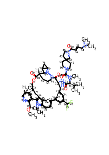 CCn1c(-c2cccnc2[C@H](C)OC)c2c3cc(ccc31)-c1cc(cc(C(F)F)c1)C[C@H](NC(=O)[C@H](C(C)C)N(C)C(=O)N1CCC3(CCN(C(=O)/C=C/CN(C)C)C3)CC1)C(=O)N1CCC[C@@H](C(=O)OCC(C)(C)C2)C2C3CC3N21